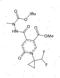 COC(=O)c1cn(C2(C(F)F)CC2)c(=O)cc1C(=O)NN(C)C(=O)OC(C)(C)C